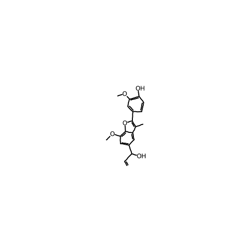 C=CC(O)c1cc(OC)c2oc(-c3ccc(O)c(OC)c3)c(C)c2c1